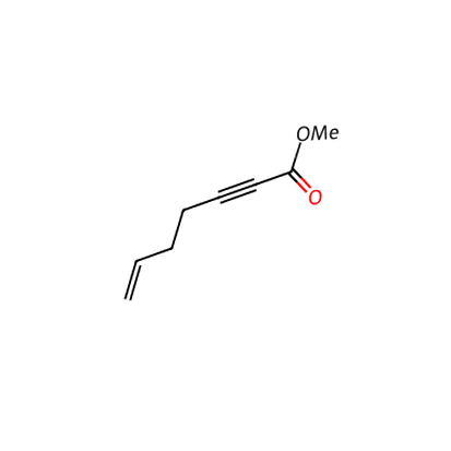 C=CCCC#CC(=O)OC